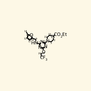 CCOC(=O)N1CCN(c2nc(NCc3ccc(C)o3)nc(OCC(F)(F)F)n2)CC1